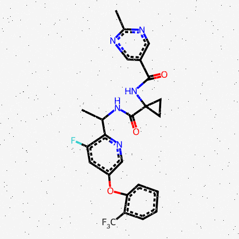 Cc1ncc(C(=O)NC2(C(=O)NC(C)c3ncc(Oc4ccccc4C(F)(F)F)cc3F)CC2)cn1